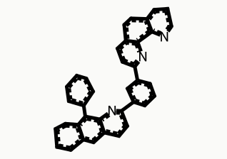 c1ccc(-c2c3ccccc3cc3ccc(-c4cccc(-c5ccc6ccc7cccnc7c6n5)c4)nc23)cc1